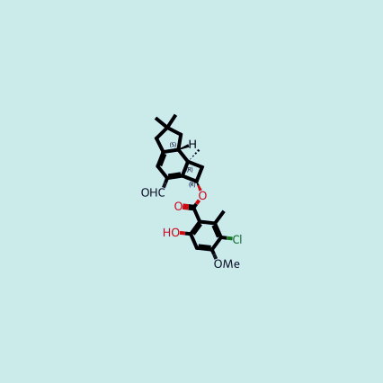 COc1cc(O)c(C(=O)O[C@@H]2C[C@@]3(C)C2=C(C=O)C=C2CC(C)(C)C[C@@H]23)c(C)c1Cl